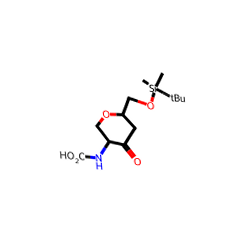 CC(C)(C)[Si](C)(C)OCC1CC(=O)C(NC(=O)O)CO1